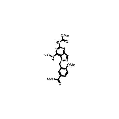 CCCCNc1nc(NC(=O)OC)nc2cnn(Cc3cc(C(=O)OC)ccc3OC)c12